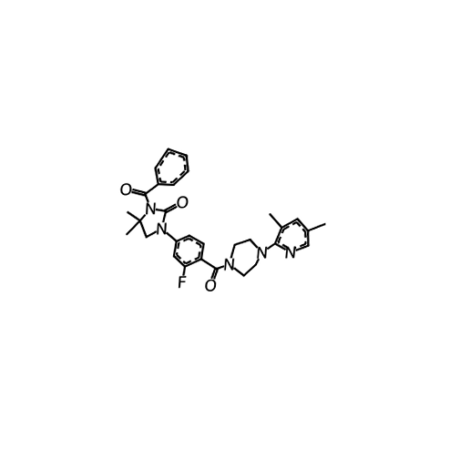 Cc1cnc(N2CCN(C(=O)c3ccc(N4CC(C)(C)N(C(=O)c5ccccc5)C4=O)cc3F)CC2)c(C)c1